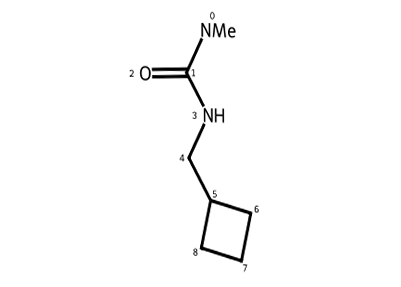 CNC(=O)NCC1CCC1